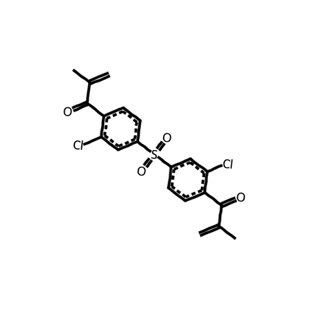 C=C(C)C(=O)c1ccc(S(=O)(=O)c2ccc(C(=O)C(=C)C)c(Cl)c2)cc1Cl